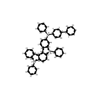 c1ccc(-c2ccc(N(c3ccccc3)c3ccc4c5c6c7ccccc7n(-c7ccccc7)c6ccc5n(-c5ccccc5)c4c3)cc2)cc1